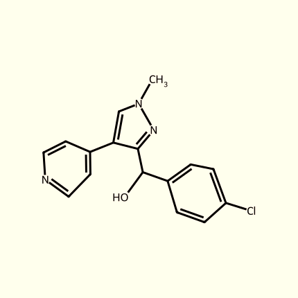 Cn1cc(-c2ccncc2)c(C(O)c2ccc(Cl)cc2)n1